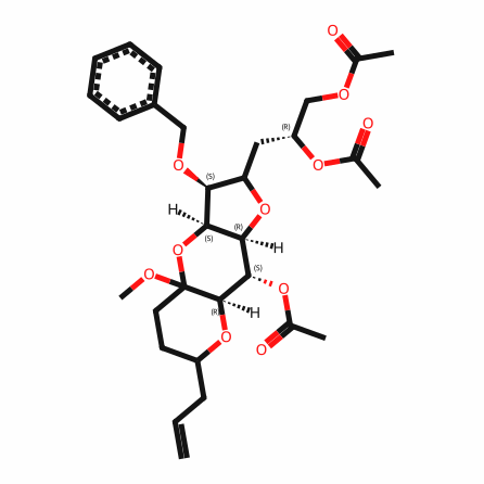 C=CCC1CCC2(OC)O[C@@H]3[C@@H](OC(C[C@H](COC(C)=O)OC(C)=O)[C@@H]3OCc3ccccc3)[C@H](OC(C)=O)[C@H]2O1